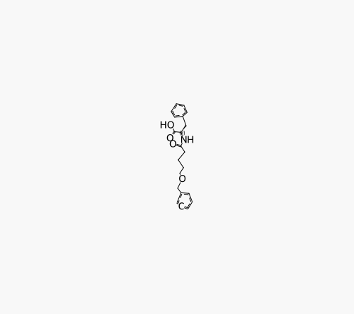 O=C(CCCCOCc1ccccc1)N[C@H](Cc1ccccc1)C(=O)O